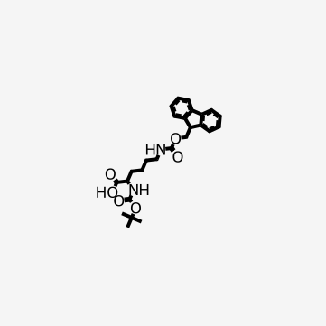 CC(C)(C)OC(=O)NC(CCCCNC(=O)OCC1c2ccccc2-c2ccccc21)C(=O)O